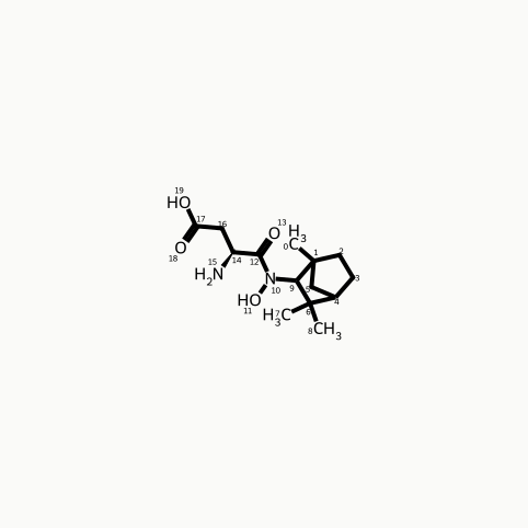 CC12CCC(C1)C(C)(C)C2N(O)C(=O)[C@@H](N)CC(=O)O